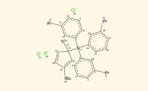 CC(C)c1cccc([Si](c2cccc(C(C)C)c2)(c2cccc(C(C)C)c2)[C]2([Ti+3])C=CC(C(C)(C)C)=C2)c1.[Cl-].[Cl-].[Cl-]